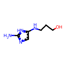 Nc1ncc(NCCCO)[nH]1